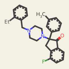 CCc1ccccc1CN1CCN(C2(c3cccc(C)c3)Cc3c(F)cccc3C2=O)CC1